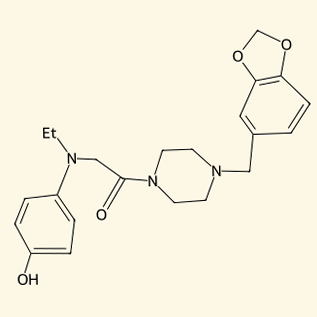 CCN(CC(=O)N1CCN(Cc2ccc3c(c2)OCO3)CC1)c1ccc(O)cc1